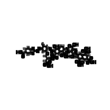 Cc1cc(N=Nc2c(S(=O)(=O)O)cc3c(S(=O)(=O)O)c(N=Nc4c(C(=O)O)nn(-c5cc(S(=O)(=O)O)c6cc(S(=O)(=O)O)cc(S(=O)(=O)O)c6c5)c4O)ccc3c2O)c(OCCCS(=O)(=O)O)cc1N=Nc1nc2ccc(S(=O)O)cc2s1